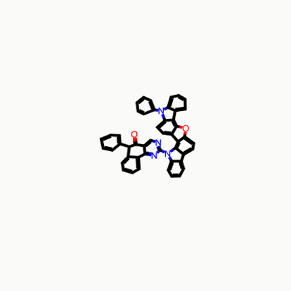 O=C1c2cnc(-n3c4ccccc4c4ccc5oc6c(ccc7c6c6ccccc6n7-c6ccccc6)c5c43)nc2-c2ccccc2C1c1ccccc1